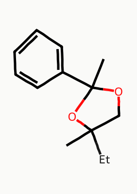 CCC1(C)COC(C)(c2ccccc2)O1